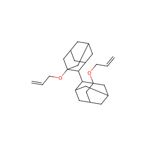 C=CCOC12CC3CC(CC(C3)C1C1C3CC4CC(C3)CC1(OCC=C)C4)C2